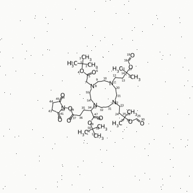 CC(C)(C)OC(=O)CN1CCN(CCC(C)(C)OC=O)CCN(CCC(C)(C)OC=O)CCN(C(CCC(=O)ON2C(=O)CCC2=O)C(=O)OC(C)(C)C)CC1